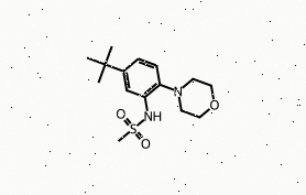 CC(C)(C)c1ccc(N2CCOCC2)c(NS(C)(=O)=O)c1